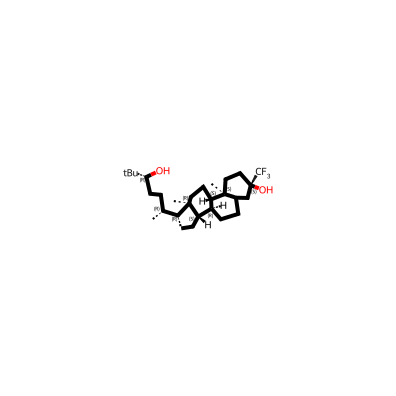 C[C@H](CC[C@@H](O)C(C)(C)C)[C@H]1CC[C@H]2[C@@H]3CCC4C[C@](O)(C(F)(F)F)CC[C@]4(C)[C@H]3CC[C@]12C